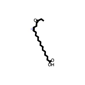 CCC1OC1C/C=C\CCCCCCCCCCCCC(=O)O